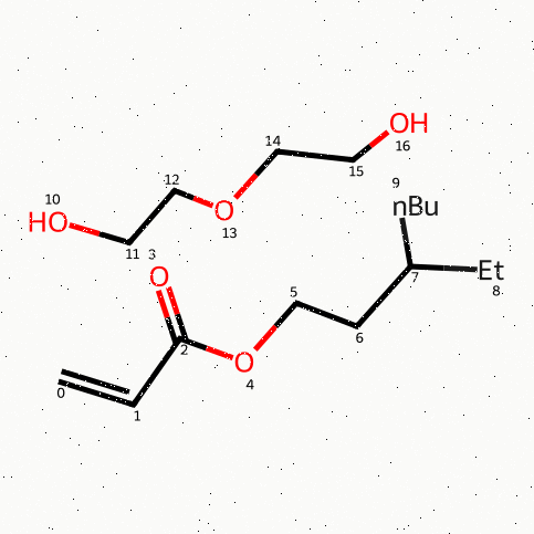 C=CC(=O)OCCC(CC)CCCC.OCCOCCO